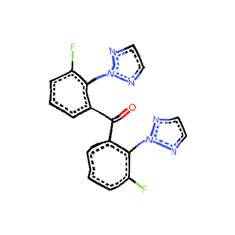 O=C(c1cccc(F)c1-n1nccn1)c1cccc(F)c1-n1nccn1